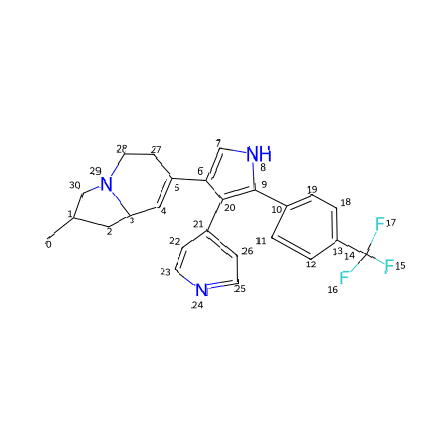 CC1CC2C=C(c3c[nH]c(-c4ccc(C(F)(F)F)cc4)c3-c3ccncc3)CCN2C1